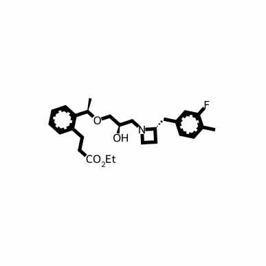 CCOC(=O)CCc1ccccc1[C@@H](C)OC[C@H](O)CN1CC[C@H]1Cc1ccc(C)c(F)c1